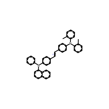 Cc1ccccc1N(c1ccc(/C=C/c2ccc(N(c3ccccc3)c3cccc4ccccc34)cc2)cc1)c1ccccc1C